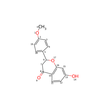 COc1ccc(C2CC(=O)c3ccc(O)cc3O2)cc1